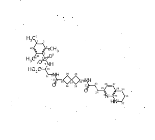 Cc1cc(C)c(S(=O)(=O)NC(CNC(=O)C2CC3(CC(NC(=O)CCc4ccc5c(n4)NCCC5)C3)C2)C(=O)O)c(C)c1